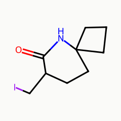 O=C1NC2(CCC2)CCC1CI